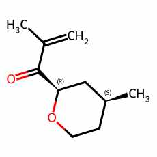 C=C(C)C(=O)[C@H]1C[C@@H](C)CCO1